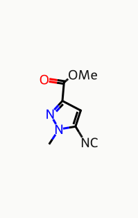 [C-]#[N+]c1cc(C(=O)OC)nn1C